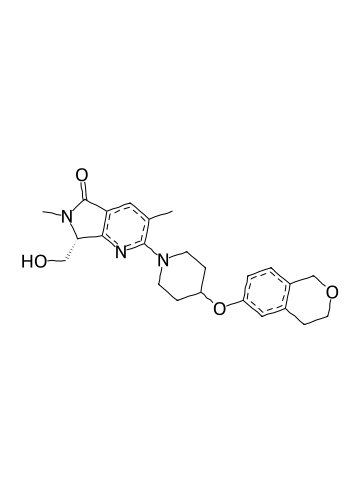 Cc1cc2c(nc1N1CCC(Oc3ccc4c(c3)CCOC4)CC1)[C@H](CO)N(C)C2=O